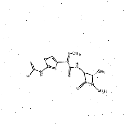 CCC(=S)Nc1nc(C(=NOC)C(=O)N[C@@H]2C(=O)N(S(=O)(=O)O)[C@H]2SC)cs1